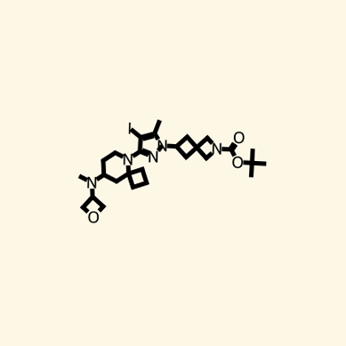 Cc1c(I)c(N2CCC(N(C)C3COC3)CC23CCC3)nn1C1CC2(C1)CN(C(=O)OC(C)(C)C)C2